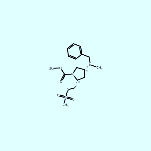 CN(Cc1ccccc1)[C@@H]1C[C@H](COS(C)(=O)=O)N(C(=O)OC(C)(C)C)C1